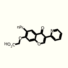 CCCc1cc2c(=O)c(-c3ccccn3)coc2cc1OCC(=O)O